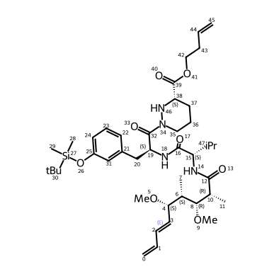 C=C/C=C/[C@H](OC)[C@H](C)[C@@H](OC)[C@@H](C)C(=O)N[C@H](C(=O)N[C@@H](Cc1cccc(O[Si](C)(C)C(C)(C)C)c1)C(=O)N1CCC[C@@H](C(=O)OCCC=C)N1)C(C)C